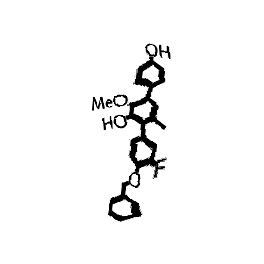 COc1c(-c2ccc(O)cc2)cc(C)c(-c2ccc(OCc3ccccc3)c(F)c2)c1O